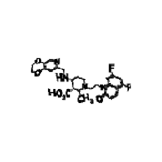 CC1[C@H](C(=O)O)[C@H](NCc2cc3c(cn2)OCCO3)CCN1CCn1c(=O)ccc2c(F)cc(F)cc21